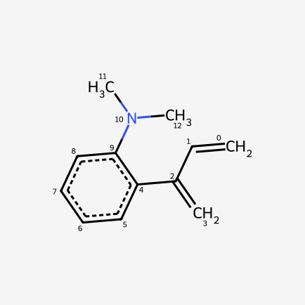 C=CC(=C)c1ccccc1N(C)C